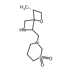 C[C@@H]1COC12CNC2CN1CCCS(=O)(=O)C1